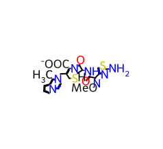 CO/N=C(\C(=O)N[C@@H]1C(=O)N2C(C(=O)[O-])=C(Cn3cc[n+]4cccc-4c3C)CS[C@@H]12)c1csc(N)n1